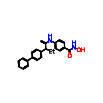 C=C(Nc1ccc(C(=O)NO)cc1)C(CC)c1ccc(-c2ccccc2)cc1